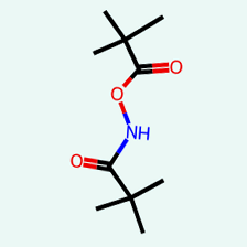 CC(C)(C)C(=O)NOC(=O)C(C)(C)C